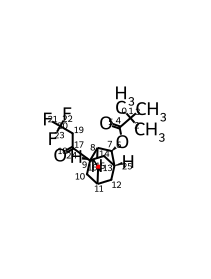 CC(C)(C)C(=O)O[C@@H]1C2[C@H]3CC(C[C@@H]1C3)CN2C(=O)CC(F)(F)F